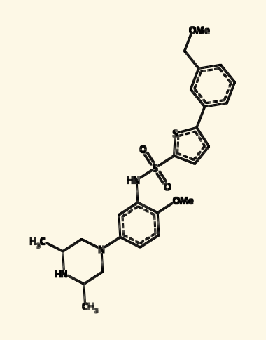 COCc1cccc(-c2ccc(S(=O)(=O)Nc3cc(N4CC(C)NC(C)C4)ccc3OC)s2)c1